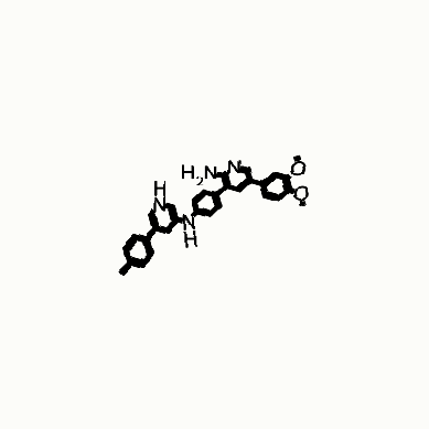 COc1ccc(-c2cnc(N)c(-c3ccc(NC4=CNC=C(c5ccc(C)cc5)C4)cc3)c2)cc1OC